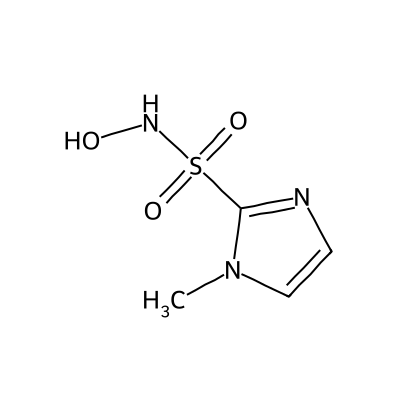 Cn1ccnc1S(=O)(=O)NO